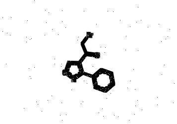 O=C(CBr)c1conc1-c1ccccc1